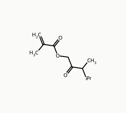 C=C(C)C(=O)OCC(=O)C(C)C(C)C